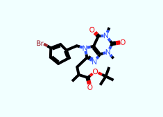 CC(Cc1nc2c(c(=O)n(C)c(=O)n2C)n1Cc1cccc(Br)c1)C(=O)OC(C)(C)C